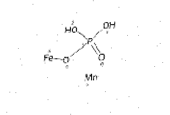 O=P(O)(O)[O][Fe].[Mn]